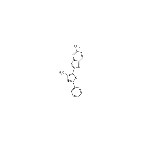 Cc1ccc2nc(-c3sc(-c4ccccc4)nc3C)cn2c1